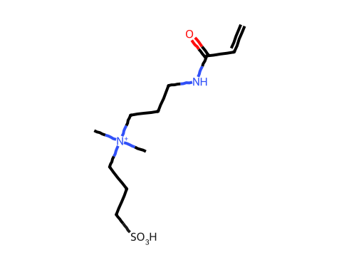 C=CC(=O)NCCC[N+](C)(C)CCCS(=O)(=O)O